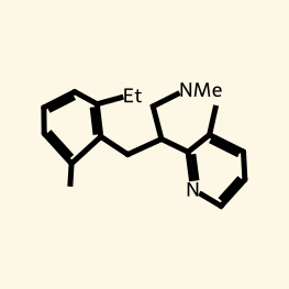 CCc1cccc(C)c1CC(CNC)c1ncccc1C